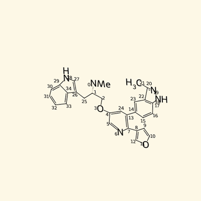 CN[C@H](COc1cnc(-c2ccoc2)c(-c2ccc3[nH]nc(C)c3c2)c1)Cc1c[nH]c2ccccc12